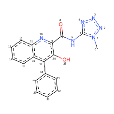 Cn1nnnc1NC(=O)c1nc2ccccc2c(-c2ccccc2)c1O